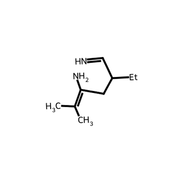 CCC(C=N)CC(N)=C(C)C